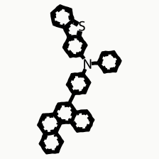 c1ccc(N(c2ccc(-c3cc4ccc5ccccc5c4c4ccccc34)cc2)c2ccc3c(c2)sc2ccccc23)cc1